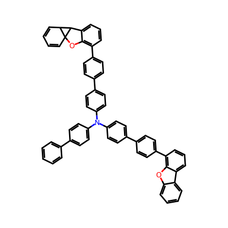 C1=CC2C3c4cccc(-c5ccc(-c6ccc(N(c7ccc(-c8ccccc8)cc7)c7ccc(-c8ccc(-c9cccc%10c9oc9ccccc9%10)cc8)cc7)cc6)cc5)c4OC23C=C1